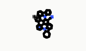 C/C=C(\C(=C/C)c1c(C#N)ccc(C#N)c1-n1c2ccccc2c2ccccc21)c1cccc(-n2c3c(c4ccccc42)C=CC=CC3)c1